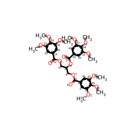 COc1cc(C(=O)OCC(COC(=O)c2cc(OC)c(OC)c(OC)c2)OC(=O)c2cc(OC)c(OC)c(OC)c2)cc(OC)c1OC